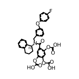 O=C(O)Oc1cc(OC(=O)O)c(C(=O)N(Cc2cccc(Oc3ccc(F)cc3)c2)[C@H]2CCCc3ccccc32)cc1OC(=O)O